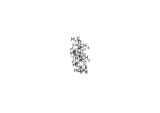 CO[C@H]1CC[C@H]2[C@@H]3CC[C@H]4C[C@@](O)(C(F)(F)F)CC[C@]4(C)[C@H]3CC[C@]12C